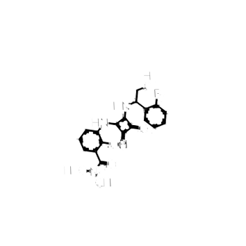 CCC(Nc1c(Nc2cccc(C(=O)N(C)C)c2O)c(=O)c1=O)c1ccccc1F